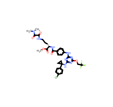 COC(=O)[C@H](CCCNC(=O)C(=O)N(C)C)NC(=O)c1ccc(Nc2nc(NC3(c4ccc(Cl)cc4)CC3)nc(OCC(F)(F)F)n2)cc1